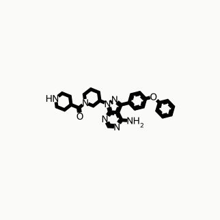 Nc1ncnc2c1c(-c1ccc(Oc3ccccc3)cc1)nn2C1CCCN(C(=O)C2CCNCC2)C1